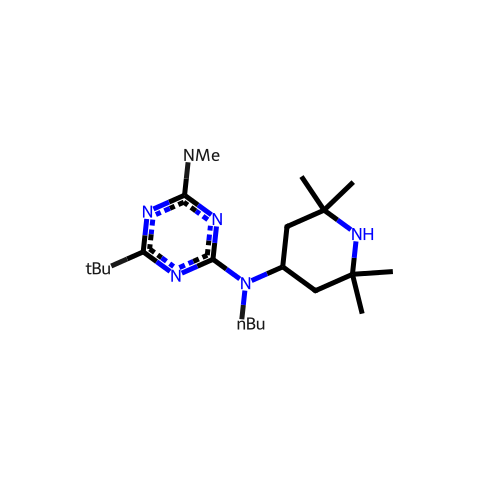 CCCCN(c1nc(NC)nc(C(C)(C)C)n1)C1CC(C)(C)NC(C)(C)C1